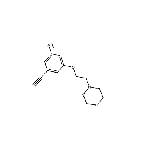 C#Cc1cc(N)cc(OCCN2CCOCC2)c1